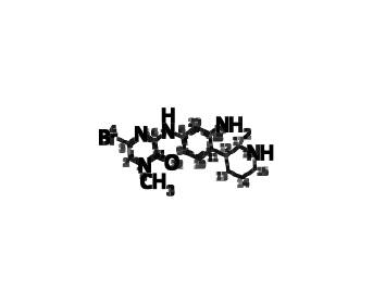 Cn1cc(Br)nc(Nc2ccc(C3CCCNC3)c(N)c2)c1=O